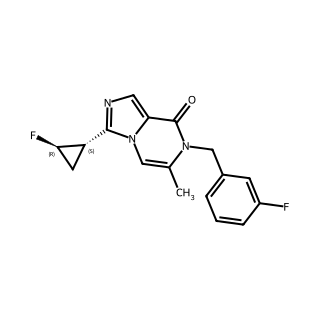 Cc1cn2c([C@@H]3C[C@H]3F)ncc2c(=O)n1Cc1cccc(F)c1